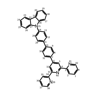 c1ccc(-c2cc(-c3ccc(-c4ccc(-n5c6ccccc6c6ccccc65)cc4)cc3)cc(-c3ccccn3)n2)nc1